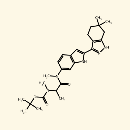 CC(C(=O)N(C)c1ccc2cc(-c3n[nH]c4c3CCC(C)(C)C4)[nH]c2c1)N(C)C(=O)OC(C)(C)C